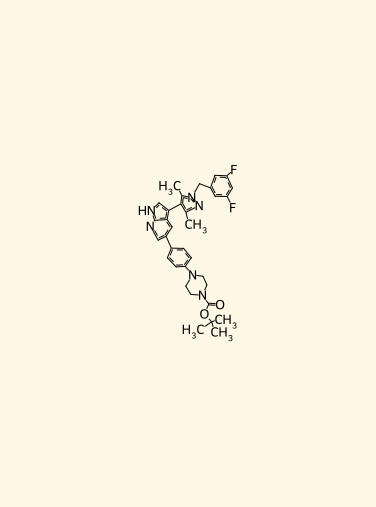 Cc1nn(Cc2cc(F)cc(F)c2)c(C)c1-c1c[nH]c2ncc(-c3ccc(N4CCN(C(=O)OC(C)(C)C)CC4)cc3)cc12